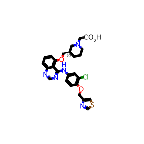 O=C(O)CN1CCC[C@@H](COc2cccc3ncnc(Nc4ccc(OCc5cscn5)c(Cl)c4)c23)C1